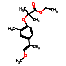 CCOC(=O)C(C)(C)Oc1ccc(/C(C)=C/OC)cc1C